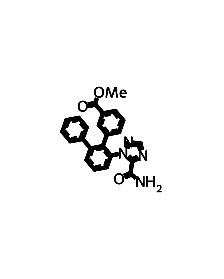 COC(=O)c1cccc(-c2c(-c3ccccc3)cccc2-n2ncnc2C(N)=O)c1